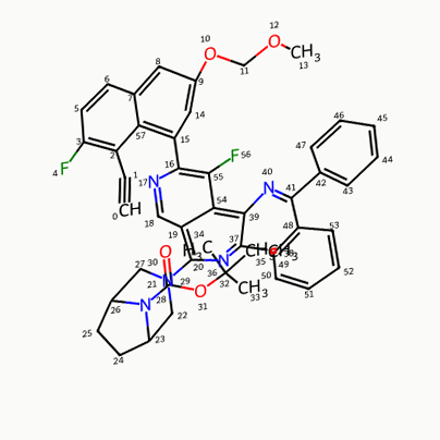 C#Cc1c(F)ccc2cc(OCOC)cc(-c3ncc4c(N5CC6CCC(C5)N6C(=O)OC(C)(C)C)nc(C)c(N=C(c5ccccc5)c5ccccc5)c4c3F)c12